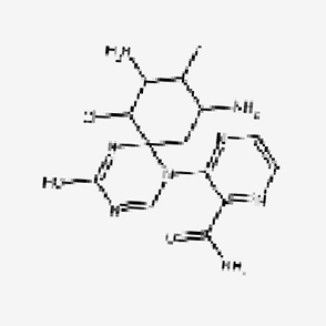 CC1C(N)CC2(N=C(O)N=CN2c2nccnc2C(N)=O)C(Cl)C1N